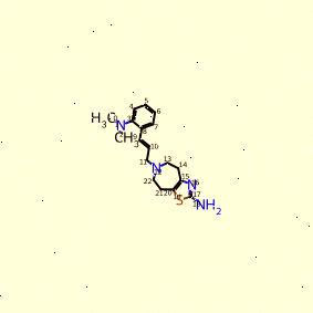 CN(C)c1ccccc1C=CCN1CCc2nc(N)sc2CC1